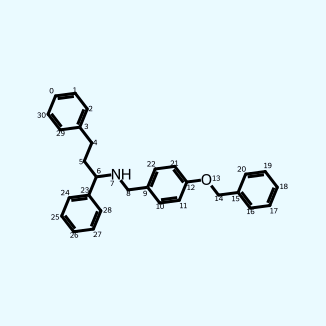 c1ccc(CCC(NCc2ccc(OCc3ccccc3)cc2)c2ccccc2)cc1